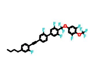 CCCCc1ccc(C#Cc2ccc(-c3cc(F)c(C(F)(F)Oc4cc(F)c(OC(F)(F)F)c(F)c4)c(F)c3)c(F)c2)c(F)c1